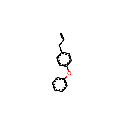 [CH]=CCc1ccc(Oc2ccccc2)cc1